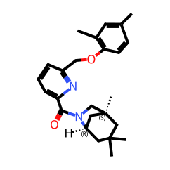 Cc1ccc(OCc2cccc(C(=O)N3C[C@]4(C)C[C@H]3CC(C)(C)C4)n2)c(C)c1